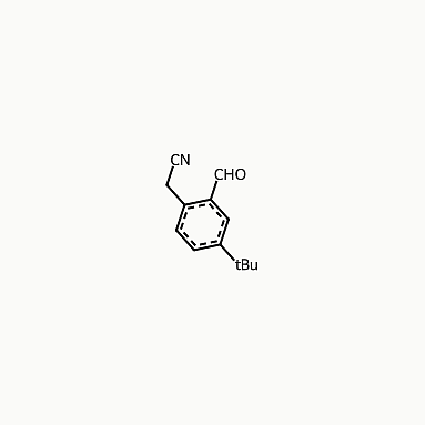 CC(C)(C)c1ccc(CC#N)c(C=O)c1